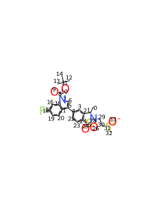 CC1c2cc(-c3cn(C(=O)OC(C)(C)C)c4cc(F)ccc34)ccc2S(=O)(=O)N1CC[S+](C)[O-]